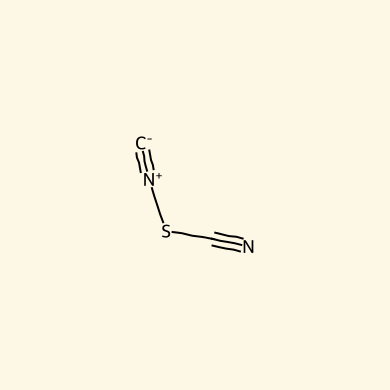 [C-]#[N+]SC#N